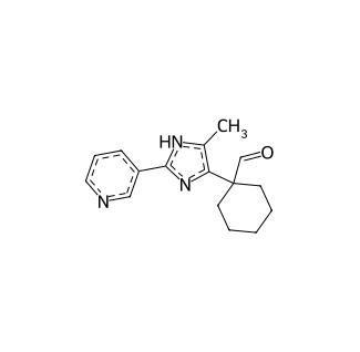 Cc1[nH]c(-c2cccnc2)nc1C1(C=O)CCCCC1